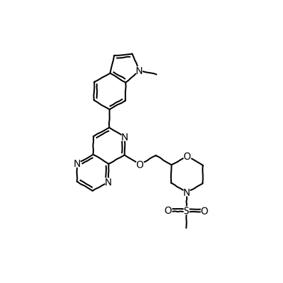 Cn1ccc2ccc(-c3cc4nccnc4c(OCC4CN(S(C)(=O)=O)CCO4)n3)cc21